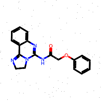 O=C(COc1ccccc1)NC1=Nc2ccccc2C2=NCCN12